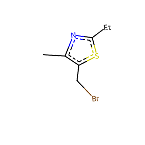 CCc1nc(C)c(CBr)s1